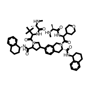 CN[C@@H](C)C(=O)NC(C(=O)N1Cc2cc(C3CC(C(=O)N[C@@H]4CCCc5ccccc54)N(C(=O)C(NC(=O)[C@H](C)NC)C(C)(C)C)C3)ccc2C[C@H]1C(=O)NC1CCCc2ccccc21)C1CCOCC1